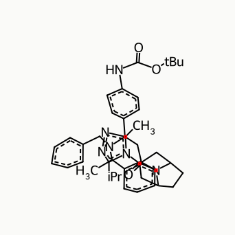 Cc1nnc(C(C)C)n1C1CC2CCC(C1)N2C(=O)CC(c1ccc(NC(=O)OC(C)(C)C)cc1)N(Cc1ccccc1)C(C)c1ccccc1